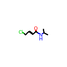 CC(C)NC(=O)/C=C/CCl